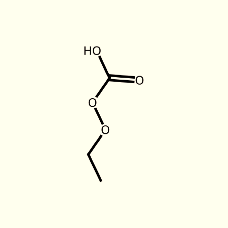 CCOOC(=O)O